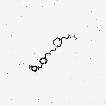 NCCN1CCCN(CCSCc2ccc(Cn3ccnc3)cc2)CC1